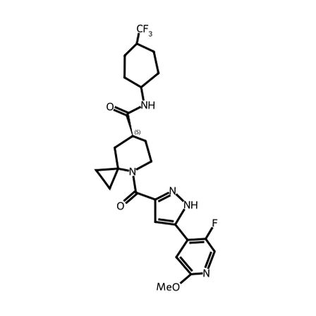 COc1cc(-c2cc(C(=O)N3CC[C@H](C(=O)NC4CCC(C(F)(F)F)CC4)CC34CC4)n[nH]2)c(F)cn1